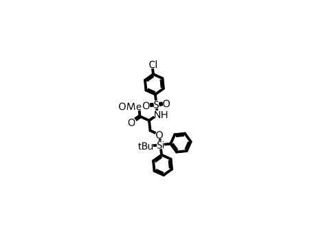 COC(=O)C(CO[Si](c1ccccc1)(c1ccccc1)C(C)(C)C)NS(=O)(=O)c1ccc(Cl)cc1